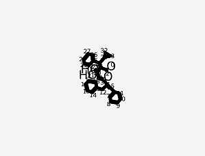 O=C1OC(C(=Cc2ccccc2)Cc2ccccc2)=CC(O)(O)C1C(c1ccccc1)C1CC1